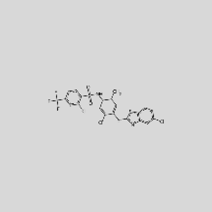 CC1C=C(Sc2nc3cc(Cl)ccc3s2)C(Cl)=CC1NS(=O)(=O)c1ccc(C(F)(F)F)cc1Cl